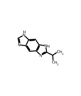 CC(C)c1nc2cc3nc[nH]c3cc2[nH]1